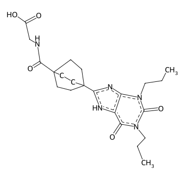 CCCn1c(=O)c2[nH]c(C34CCC(C(=O)NCC(=O)O)(CC3)CC4)nc2n(CCC)c1=O